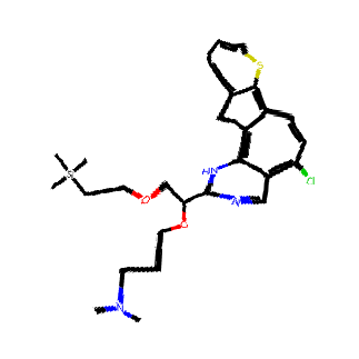 CN(C)CCCOC(COCC[Si](C)(C)C)C1N=CC2=C(Cl)C=CC3=C4SC=CC=C4CC3=C2N1